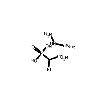 CCC(C(=O)O)P(=O)(O)O.CCCCCNN